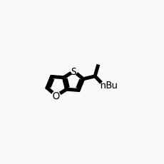 CCCCC(C)c1cc2occc2s1